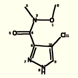 CON(C)C(=O)c1n[nH]cc1Cl